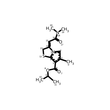 Cc1cn2c(c1C(=O)OC(C)C)SC/C2=C/C(=O)N(C)C